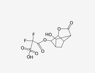 O=C1OC2C3CC(C(O)C13)C2OC(=O)C(F)(F)S(=O)(=O)O